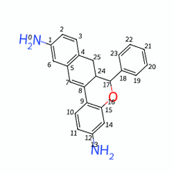 Nc1ccc2c(c1)C=C1c3ccc(N)cc3OC(c3ccccc3)C1C2